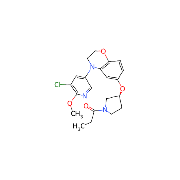 CCC(=O)N1CC[C@H](Oc2ccc3c(c2)N(c2cnc(OC)c(Cl)c2)CCO3)C1